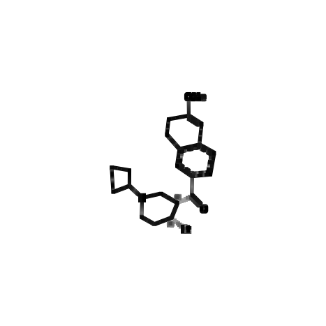 CC[C@@H]1CCN(C2CCC2)C[C@@H]1C(=O)c1ccc2c(c1)CCC(OC)=C2